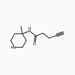 C#CCCC(=O)NC1(C)CCNCC1